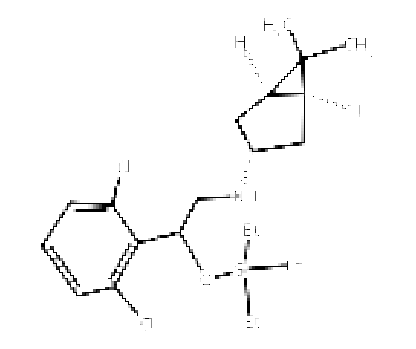 CC[Si](CC)(CC)OC(CN[C@@H]1C[C@@H]2[C@H](C1)C2(C)C)c1c(Cl)cccc1Cl